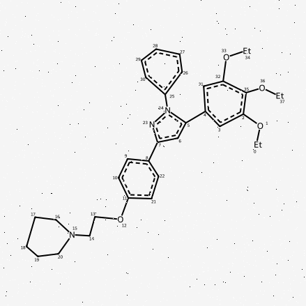 CCOc1cc(-c2cc(-c3ccc(OCCN4CCCCC4)cc3)nn2-c2ccccc2)cc(OCC)c1OCC